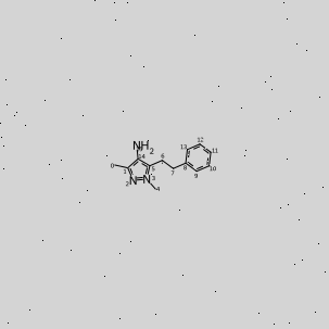 Cc1nn(C)c([CH]Cc2ccccc2)c1N